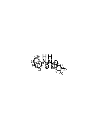 Cc1cc2nc(NC(=O)NC3CCC4CC5CC4CC3C5)oc2cc1C